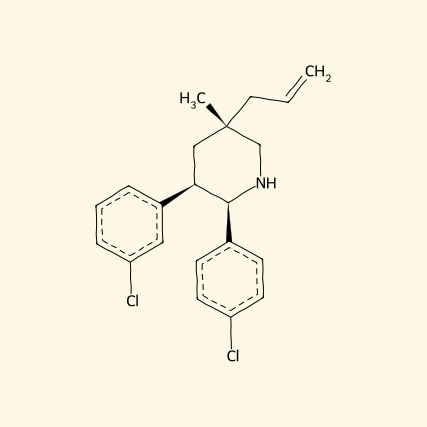 C=CC[C@]1(C)CN[C@@H](c2ccc(Cl)cc2)[C@@H](c2cccc(Cl)c2)C1